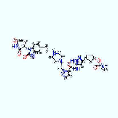 CC(C)NC(=O)O[C@@H]1CC[C@H](c2cc(NC(=O)c3ccnn3CCN3CCN(CCCc4ccc5c(c4)n(C)c(=O)n5C4CCC(=O)NC4=O)CC3)[nH]n2)C1